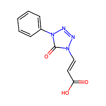 O=C(O)C=Cn1nnn(-c2ccccc2)c1=O